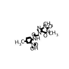 Cc1ccc(NC(=O)Cn2cnc3c2c(=O)n(C)c(=O)n3C)c([N+](=O)O)c1